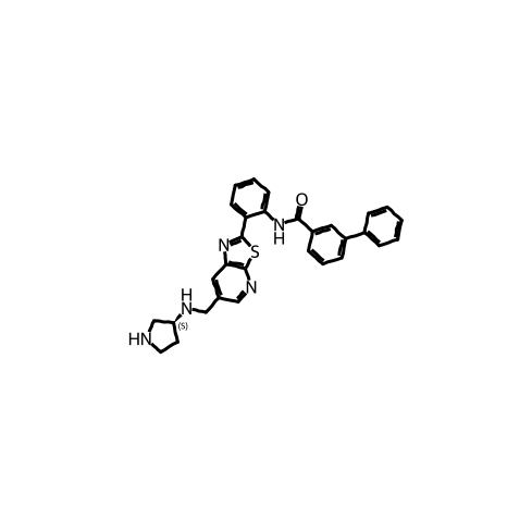 O=C(Nc1ccccc1-c1nc2cc(CN[C@H]3CCNC3)cnc2s1)c1cccc(-c2ccccc2)c1